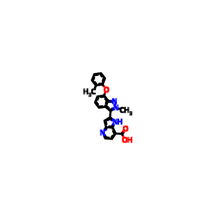 Cc1ccccc1Oc1cccc2c(-c3cc4nccc(C(=O)O)c4[nH]3)n(C)nc12